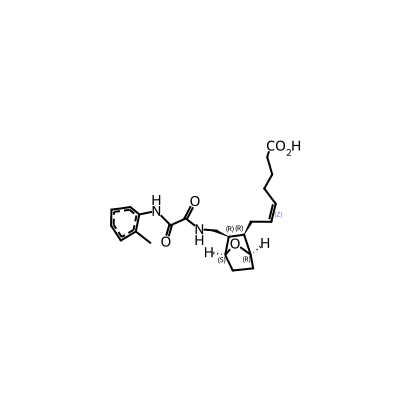 Cc1ccccc1NC(=O)C(=O)NC[C@H]1[C@@H](C/C=C\CCCC(=O)O)[C@H]2CC[C@@H]1O2